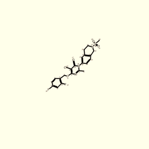 Cc1nc(OCc2ccc(F)cc2F)c(Cl)c(=O)n1-c1ccc2c(c1)CCN(S(C)(=O)=O)C2